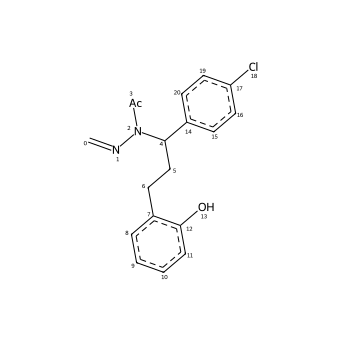 C=NN(C(C)=O)C(CCc1ccccc1O)c1ccc(Cl)cc1